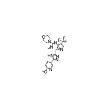 C=N/C(=N\c1c(C(F)(F)F)cnn1Cc1nnc(-c2ccc(OC)nc2)[nH]1)N1CCOCC1